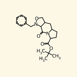 CC(C)(C)OC(=O)C1CCC2CC3CON(Cc4ccccc4)C3C(=O)N21